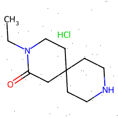 CCN1CCC2(CCNCC2)CC1=O.Cl